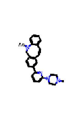 CC(=O)N1Cc2ccc(-c3cccc(N4CCN(C)CC4)n3)cc2C=Cc2ccccc21